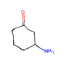 NC1CCCC(=O)C1